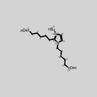 CCCCCCCCCCCCCCCc1n(CCCCCCCCCCCCCCC)cc[n+]1CCCC